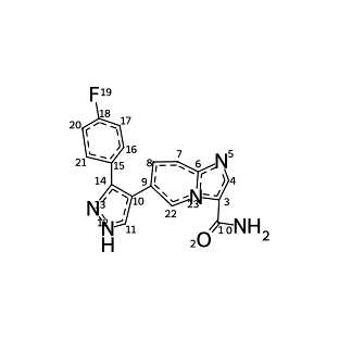 NC(=O)c1cnc2ccc(-c3c[nH]nc3-c3ccc(F)cc3)cn12